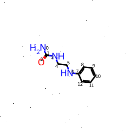 NC(=O)NCCNc1ccccc1